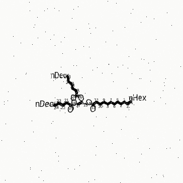 CCCCCC/C=C\CCCCCCCCCC(=O)OC[C@H](COC(=O)CCCCCCCCCCCCCC)OC(=O)CCCCCCCCCCCCCCC